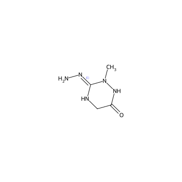 CN1NC(=O)CN/C1=N\N